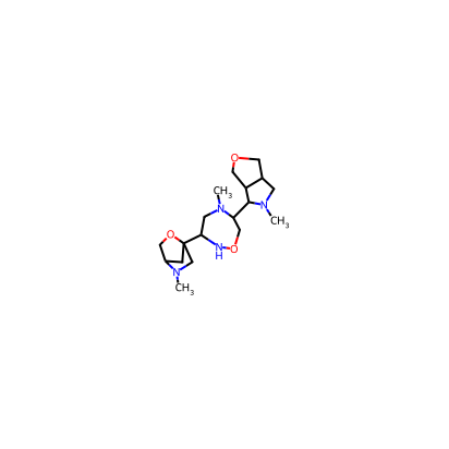 CN1CC2(C3CN(C)C(C4C5COCC5CN4C)CON3)CC1CO2